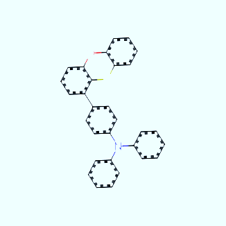 c1ccc(N(c2ccccc2)c2ccc(-c3cccc4c3Sc3ccccc3O4)cc2)cc1